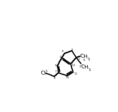 CC1(C)CCc2cc(CCl)ccc21